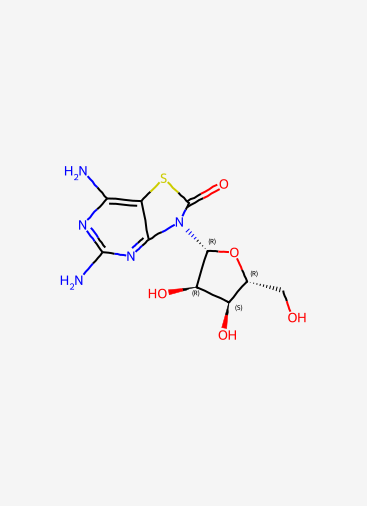 Nc1nc(N)c2sc(=O)n([C@@H]3O[C@H](CO)[C@@H](O)[C@H]3O)c2n1